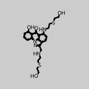 O=c1c2c(O)cccc2n2nc(CNCCSCCO)c3ccc(NCCSCCO)c1c32